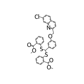 COC(=O)c1ccccc1SC(Sc1ccccc1C(=O)OC)c1cccc(OCc2ccc3ccc(Cl)cc3n2)c1